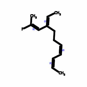 C/C=C\C=C/CCC(/C=C(\C)F)=C\C